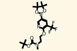 CN(CCOc1ncc(B2OC(C)(C)C(C)(C)O2)cc1C(F)(F)F)C(=O)OC(C)(C)C